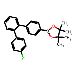 CC1(C)OB(c2ccc(-c3ccccc3-c3ccc(Cl)cc3)cc2)OC1(C)C